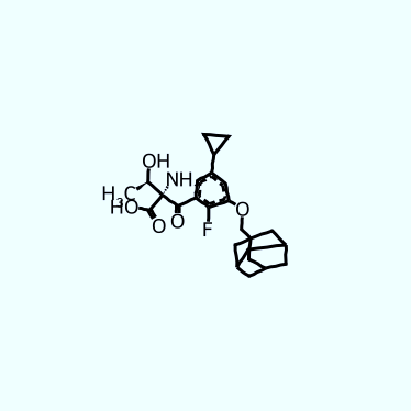 C[C@@H](O)[C@](N)(C(=O)O)C(=O)c1cc(C2CC2)cc(OCC23CC4CC(CC(C4)C2)C3)c1F